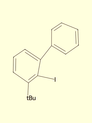 CC(C)(C)c1cccc(-c2ccccc2)c1I